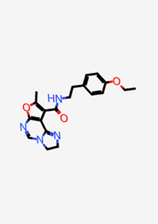 CCOc1ccc(CCNC(=O)c2c(C)oc3c2C2=NCCN2C=N3)cc1